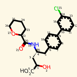 O=C(O)C(O)C[C@@H](Cc1ccc(-c2cccc(Cl)c2)cc1)NC(=O)C1CCCCO1